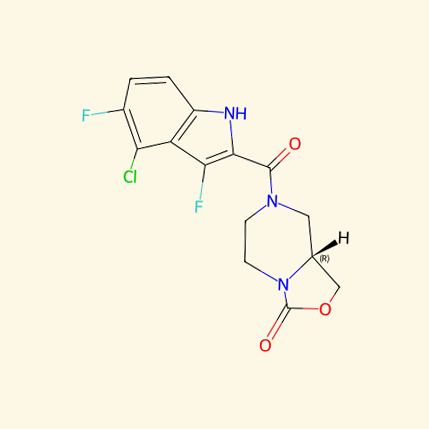 O=C(c1[nH]c2ccc(F)c(Cl)c2c1F)N1CCN2C(=O)OC[C@H]2C1